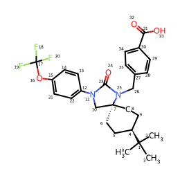 CC(C)(C)[C@H]1CC[C@]2(CC1)CN(c1ccc(OC(F)(F)F)cc1)C(=O)N2Cc1ccc(C(=O)O)cc1